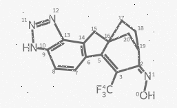 ON=C1C(C(F)(F)F)=C2c3ccc4[nH]nnc4c3CC23CCC1C3